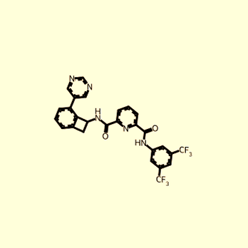 O=C(Nc1cc(C(F)(F)F)cc(C(F)(F)F)c1)c1cccc(C(=O)NC2Cc3cccc(-c4cncnc4)c32)n1